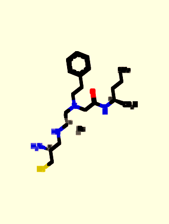 CC[C@H](C)[C@@H](CN(CCc1ccccc1)CC(=O)N[C@@H](CCSC)C(=O)O)NC[C@@H](N)CS